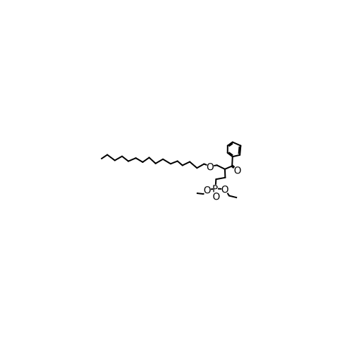 CCCCCCCCCCCCCCCCOCC(CCP(=O)(OCC)OCC)C(=O)c1ccccc1